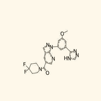 COc1cc(-c2nnc[nH]2)cc(-n2ncc3cc(C(=O)N4CCC(F)(F)CC4)cnc32)c1